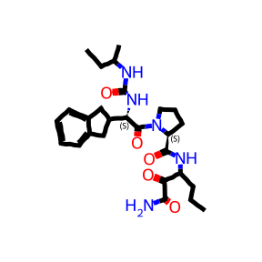 CCCC(NC(=O)[C@@H]1CCCN1C(=O)[C@@H](NC(=O)NC(C)CC)C1Cc2ccccc2C1)C(=O)C(N)=O